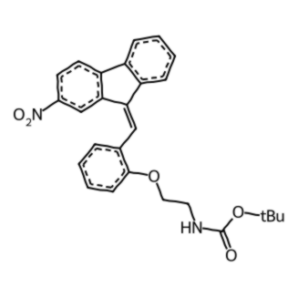 CC(C)(C)OC(=O)NCCOc1ccccc1C=C1c2ccccc2-c2ccc([N+](=O)[O-])cc21